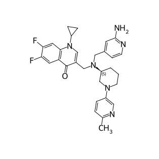 Cc1ccc(N2CCC[C@H](N(Cc3ccnc(N)c3)Cc3cn(C4CC4)c4cc(F)c(F)cc4c3=O)C2)cn1